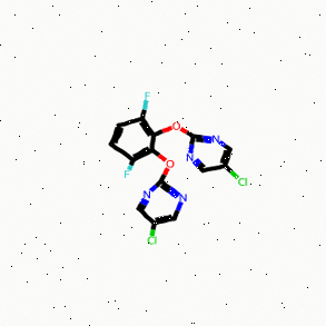 Fc1ccc(F)c(Oc2ncc(Cl)cn2)c1Oc1ncc(Cl)cn1